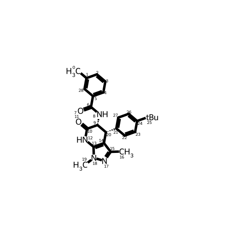 Cc1cccc(C(=O)N[C@H]2C(=O)Nc3c(c(C)nn3C)[C@H]2c2ccc(C(C)(C)C)cc2)c1